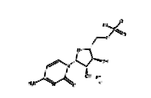 Nc1ccn([C@@H]2O[C@H](COP(=O)([O-])[O-])[C@@H](O)[C@H]2O)c(=O)n1.[K+].[K+]